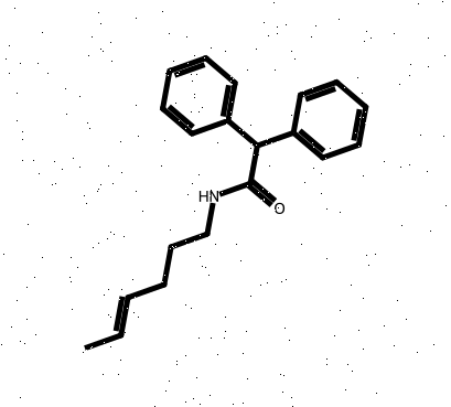 CC=CCCCNC(=O)C(c1ccccc1)c1ccccc1